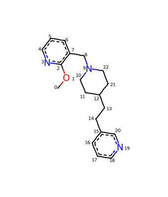 COc1ncccc1CN1CCC(CCc2cccnc2)CC1